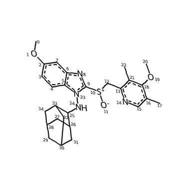 COc1ccc2c(c1)nc([S+]([O-])Cc1ncc(C)c(OC)c1C)n2NC1C2CC3CC(C2)CC1C3